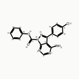 Nc1ncnc2c1c(-c1ccc(Cl)cc1)nn2C(=O)Oc1ccccc1